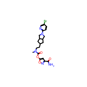 CN(CCC1CC2CN(c3ccc(Br)cn3)CC2C1)C(=O)Oc1cc(C(N)=O)no1